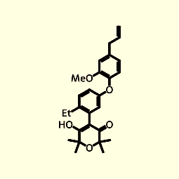 C=CCc1ccc(Oc2ccc(CC)c(C3=C(O)C(C)(C)OC(C)(C)C3=O)c2)c(OC)c1